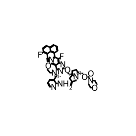 C#Cc1c(F)ccc2cccc(-c3nc4c5c(nc(OC[C@@]67CC[C@@H](COC(=O)N8CCOCC8)N6CC(=C)C7)nc5c3F)N([C@H](C)c3cccnc3N)CCO4)c12